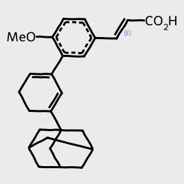 COc1ccc(/C=C/C(=O)O)cc1C1=CCCC(C23CC4CC(CC(C4)C2)C3)=C1